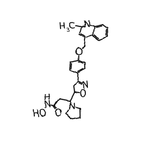 Cc1cc(COc2ccc(C3=NOC(C(CC(=O)NO)N4CCCC4)C3)cc2)c2ccccc2n1